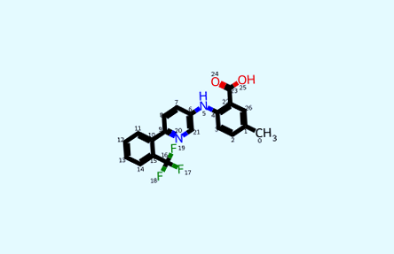 Cc1ccc(Nc2ccc(-c3ccccc3C(F)(F)F)nc2)c(C(=O)O)c1